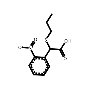 CCCSC(C(=O)O)c1ccccc1[N+](=O)[O-]